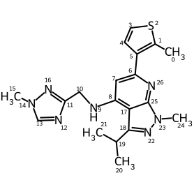 Cc1sccc1-c1cc(NCc2ncn(C)n2)c2c(C(C)C)nn(C)c2n1